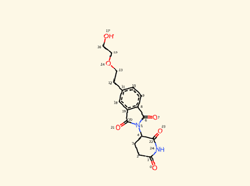 O=C1CCC(N2C(=O)c3ccc(CCOCCO)cc3C2=O)C(=O)N1